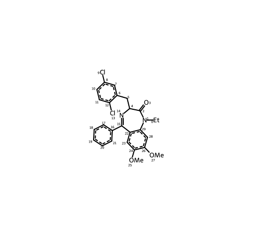 CCN1C(=O)C(Cc2cc(Cl)ccc2Cl)N=C(c2ccccc2)c2cc(OC)c(OC)cc21